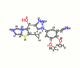 COc1cc(-n2cc(C(O)c3c(C4CC4)sc4cncn34)nn2)cc(C#N)c1OC